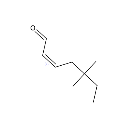 CCC(C)(C)C/C=C\C=O